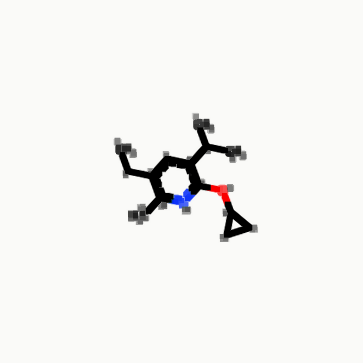 CCc1cc(C(C)C)c(OC2CC2)nc1C